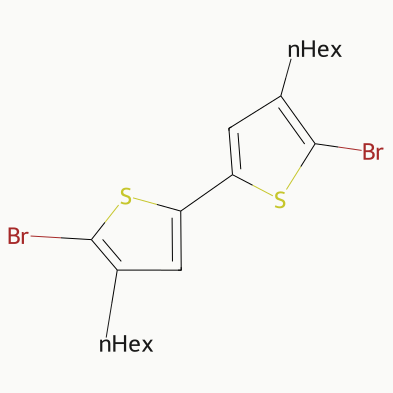 CCCCCCc1cc(-c2cc(CCCCCC)c(Br)s2)sc1Br